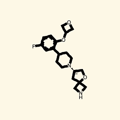 Fc1ccc(OC2COC2)c(C2CCN([C@@H]3COC4(CNC4)C3)CC2)c1